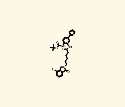 CC(C)(C)OC(=O)Nc1ccc(-c2cccs2)cc1NC(=O)CCCCCN1Cc2c(Br)cccc2C1=O